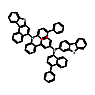 c1ccc(-c2ccc(N(c3ccccc3-c3cccc(N(c4ccc5c(c4)sc4ccccc45)c4ccc(-c5ccccc5)c5ccccc45)c3)c3cc4sc5ccccc5c4c4ccccc34)cc2)cc1